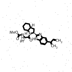 C=CC(=C)c1ccc2[nH]c([C@@H]3C[C@@H]4CCCC[C@@H]4N3C(=O)[C@@H](NC(=O)OC)C(C)C)nc2c1